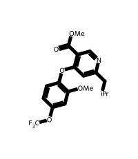 COC(=O)c1cnc(CC(C)C)cc1Oc1ccc(OC(F)(F)F)cc1OC